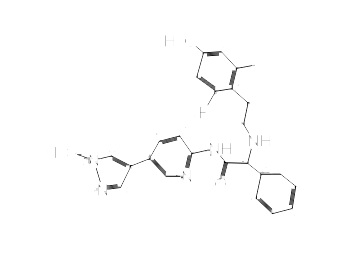 Cc1cc(F)c(CCNC(C(=O)Nc2ccc(-c3cnn(C)c3)cn2)C2C=CC=CC2)c(F)c1